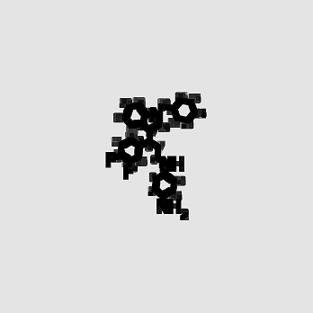 Nc1ccc(NCCC(c2ccc(F)c(F)c2)c2cn(CC3CCCCC3)c3ccccc23)cc1